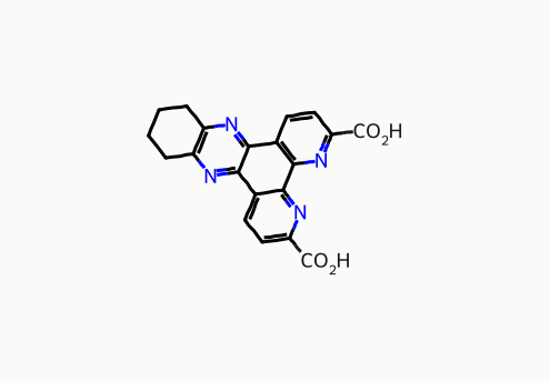 O=C(O)c1ccc2c(n1)c1nc(C(=O)O)ccc1c1nc3c(nc21)CCCC3